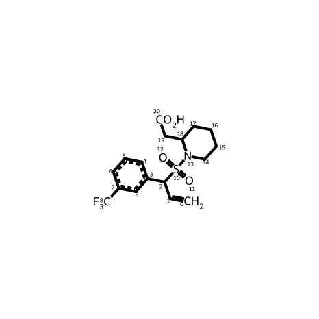 C=CC(c1cccc(C(F)(F)F)c1)S(=O)(=O)N1CCCCC1CC(=O)O